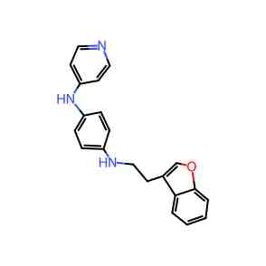 c1ccc2c(CCNc3ccc(Nc4ccncc4)cc3)coc2c1